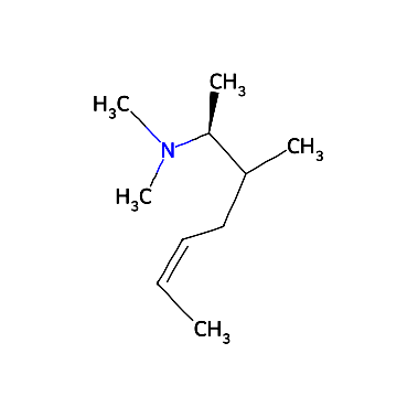 C/C=C\CC(C)[C@H](C)N(C)C